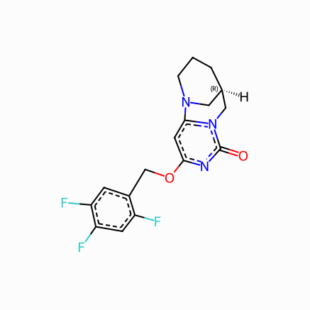 O=c1nc(OCc2cc(F)c(F)cc2F)cc2n1C[C@@H]1CCCN2C1